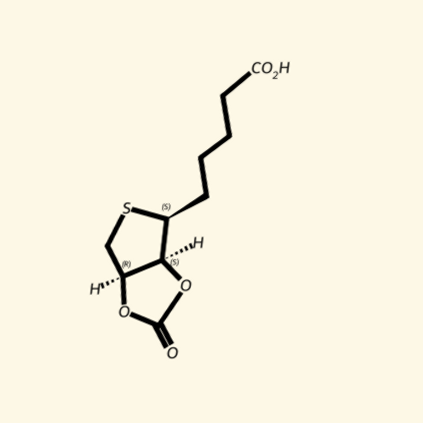 O=C(O)CCCC[C@@H]1SC[C@@H]2OC(=O)O[C@@H]21